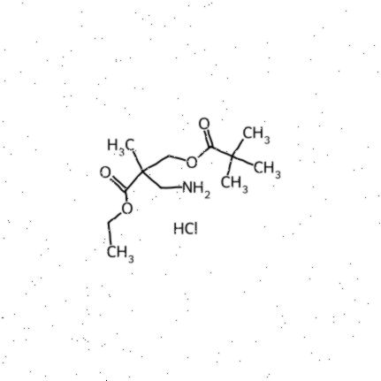 CCOC(=O)C(C)(CN)COC(=O)C(C)(C)C.Cl